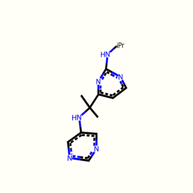 CC(C)Nc1nccc(C(C)(C)Nc2cncnc2)n1